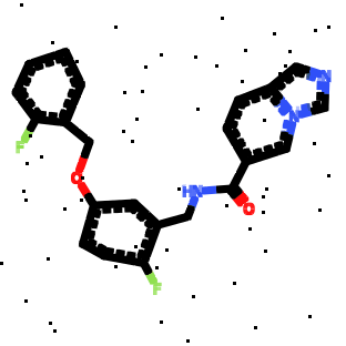 O=C(NCc1cc(OCc2ccccc2F)ccc1F)c1ccc2cncn2c1